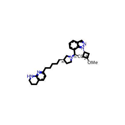 CO[C@H]1C[C@H](n2ncc3cccc([C@@H](C(=O)O)N4CC[C@@H](CCCCCc5ccc6c(n5)NCCC6)C4)c32)C1